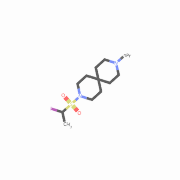 CCCN1CCC2(CC1)CCN(S(=O)(=O)C(C)I)CC2